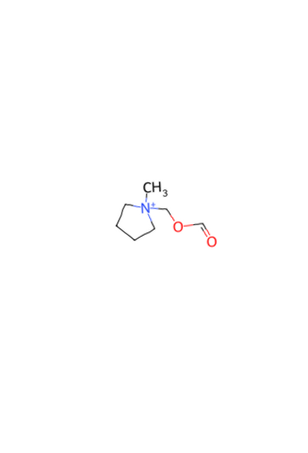 C[N+]1(COC=O)CCCC1